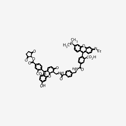 CC/N=c1\ccc2c(-c3ccc(C(=O)NCc4ccc(C(=O)NCc5c6oc7cc(O)ccc7c(-c7ccc(C(=O)OC8C(=O)CCC8=O)cc7C(=O)O)c-6ccc5=O)cc4)cc3C(=O)O)c3ccc(N(C)C)cc3oc-2c1